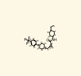 CCC1CCC(NC(=O)C2CC2CN2CCN(c3ccc(C(F)(F)F)cc3)CC2)CC1